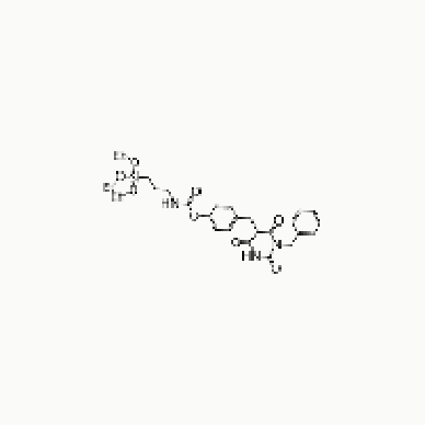 CCO[Si](CCCNC(=O)Oc1ccc(CC2C(=O)NC(=O)N(Cc3ccccc3)C2=O)cc1)(OCC)OCC